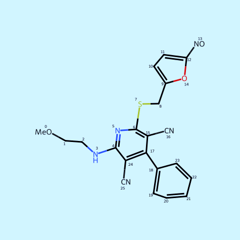 COCCNc1nc(SCc2ccc(N=O)o2)c(C#N)c(-c2ccccc2)c1C#N